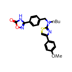 CCCCN(Cc1ccc(-c2noc(=O)[nH]2)cc1)c1nc(-c2ccc(OC)cc2)cs1